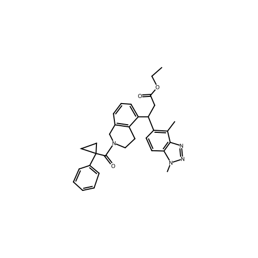 CCOC(=O)CC(c1cccc2c1CCN(C(=O)C1(c3ccccc3)CC1)C2)c1ccc2c(nnn2C)c1C